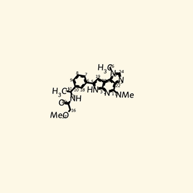 CNc1nc2[nH]c(-c3cccc(C(C)NC(=O)COC)c3)cc2c2c1ncn2C